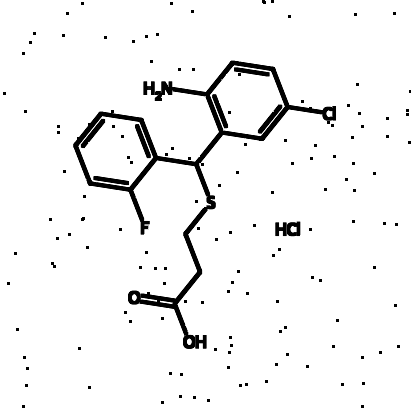 Cl.Nc1ccc(Cl)cc1C(SCCC(=O)O)c1ccccc1F